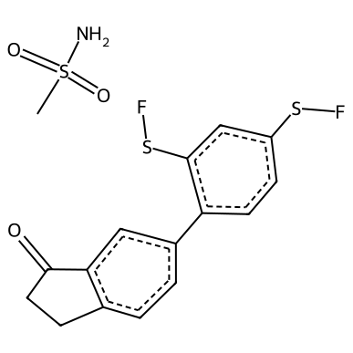 CS(N)(=O)=O.O=C1CCc2ccc(-c3ccc(SF)cc3SF)cc21